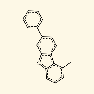 Cc1cccc2sc3cc(-c4ccccc4)ccc3c12